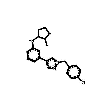 CC1[CH]CCC1Nc1cccc(-c2cn(Cc3ccc(Cl)cc3)nn2)c1